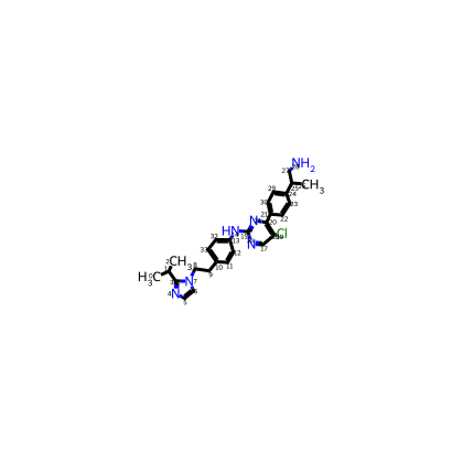 CC(C)c1nccn1CCc1ccc(Nc2ncc(Cl)c(-c3ccc(C(C)CN)cc3)n2)cc1